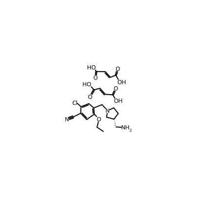 CCOc1cc(C#N)c(Cl)cc1CN1CC[C@H](CN)C1.O=C(O)/C=C/C(=O)O.O=C(O)/C=C/C(=O)O